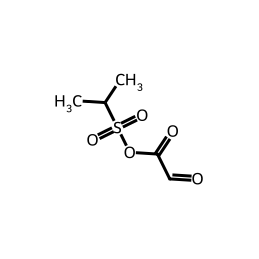 CC(C)S(=O)(=O)OC(=O)C=O